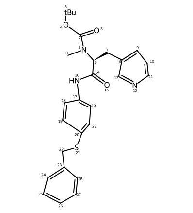 CN(C(=O)OC(C)(C)C)[C@@H](Cc1cccnc1)C(=O)Nc1ccc(SCc2ccccc2)cc1